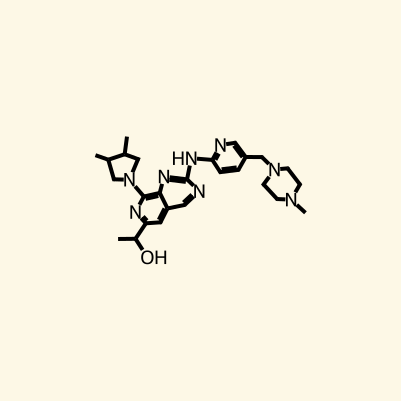 CC(O)c1cc2cnc(Nc3ccc(CN4CCN(C)CC4)cn3)nc2c(N2CC(C)C(C)C2)n1